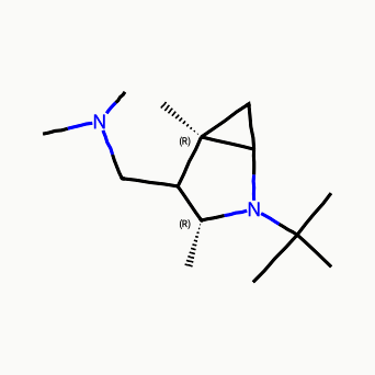 C[C@@H]1C(CN(C)C)[C@@]2(C)CC2N1C(C)(C)C